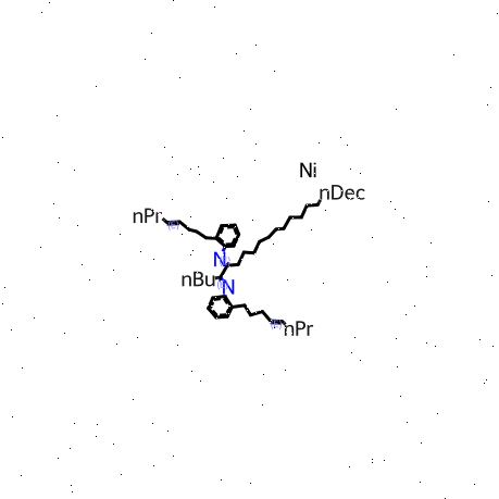 CCC/C=C/CCCc1ccccc1/N=C(CCCC)/C(CCCCCCCCCCCCCCCCCCCCC)=N/c1ccccc1CCC/C=C/CCC.[Ni]